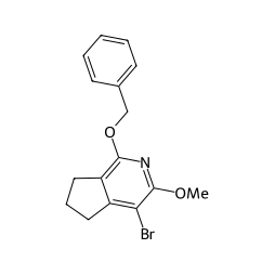 COc1nc(OCc2ccccc2)c2c(c1Br)CCC2